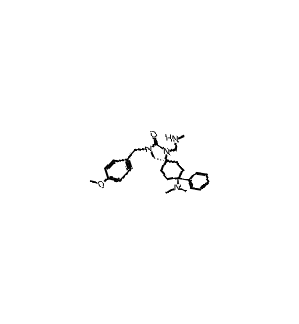 CNCN1C(=O)N(Cc2ccc(OC)cc2)C[C@]12CC[C@](c1ccccc1)(N(C)C)CC2